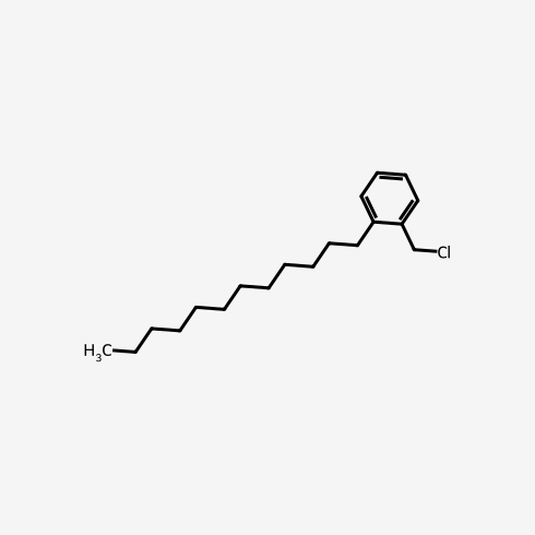 CCCCCCCCCCCCc1ccccc1CCl